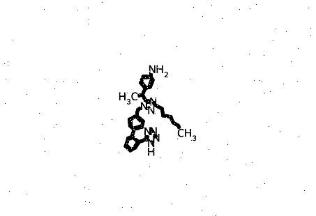 CCCCCCc1nc(C(C)c2ccc(N)cc2)n(Cc2ccc(-c3ccccc3-c3nnn[nH]3)cc2)n1